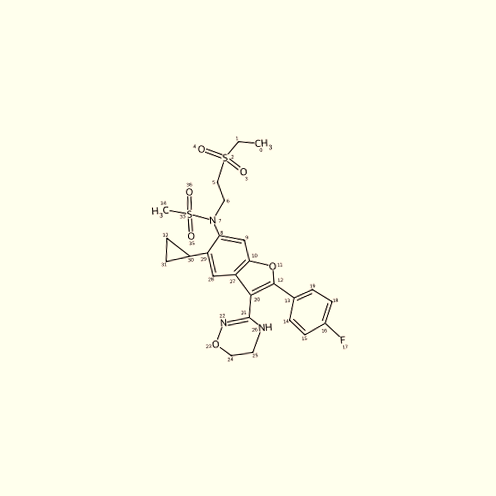 CCS(=O)(=O)CCN(c1cc2oc(-c3ccc(F)cc3)c(C3=NOCCN3)c2cc1C1CC1)S(C)(=O)=O